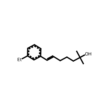 CCc1cccc(/C=C/CCCC(C)(C)O)c1